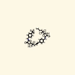 CCCCC(Cl)(Cl)C1NC(=O)/C(=C/c2ccc(C#CCC(Cl)(Cl)C3NC(=O)/C(=C/c4ccc(C(F)(F)F)cc4)O3)cc2)O1